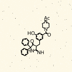 CC(=O)N1CCN(C(=O)c2cc(O)cc(CC3C(=N)NC(c4ccccc4)(c4ccccc4)C3=O)c2)CC1